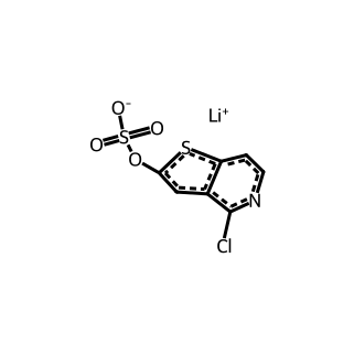 O=S(=O)([O-])Oc1cc2c(Cl)nccc2s1.[Li+]